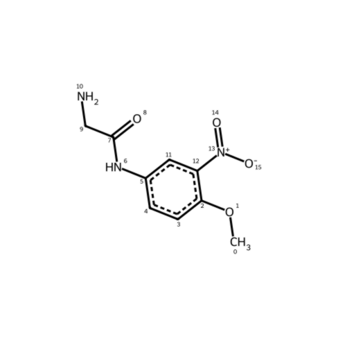 COc1ccc(NC(=O)CN)cc1[N+](=O)[O-]